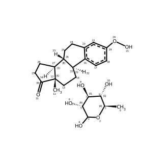 C[C@H]1OC(O)[C@H](O)[C@@H](O)[C@@H]1O.C[C@]12CC[C@@H]3c4ccc(OO)cc4CC[C@H]3[C@@H]1CCC2=O